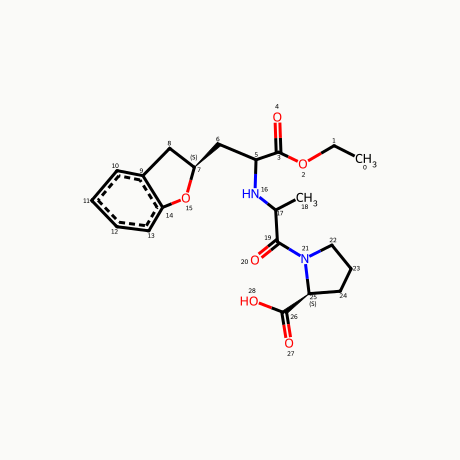 CCOC(=O)C(C[C@@H]1Cc2ccccc2O1)NC(C)C(=O)N1CCC[C@H]1C(=O)O